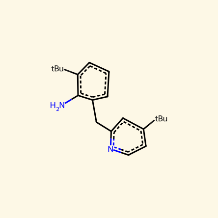 CC(C)(C)c1ccnc(Cc2cccc(C(C)(C)C)c2N)c1